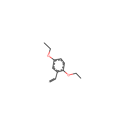 [CH]=Cc1cc(OCC)[c]cc1OCC